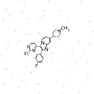 CCc1nccc(-c2c(-c3ccc(F)cc3)nc3cc(C4CCN(C)CC4)ccn23)n1